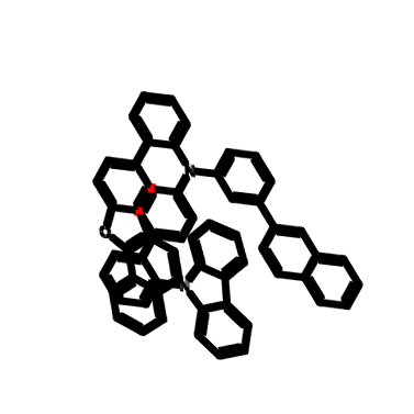 c1cc(-c2ccc3ccccc3c2)cc(N(c2ccc(-c3ccccc3-n3c4ccccc4c4ccccc43)cc2)c2ccccc2-c2ccc3oc4c5ccccc5ccc4c3c2)c1